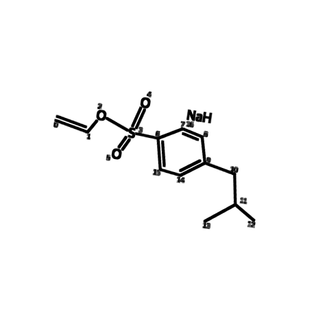 C=COS(=O)(=O)c1ccc(CC(C)C)cc1.[NaH]